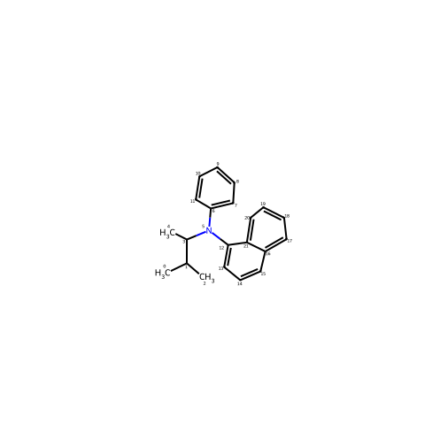 CC(C)C(C)N(c1ccccc1)c1cccc2ccccc12